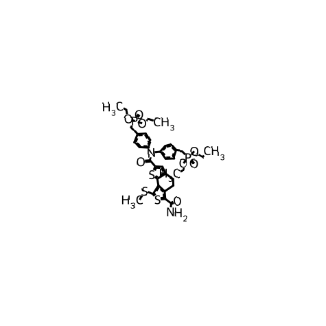 CCOP(=O)(Cc1ccc(N(C(=O)c2cc3c(s2)-c2c(SC)sc(C(N)=O)c2CC3)c2ccc(CP(=O)(OCC)OCC)cc2)cc1)OCC